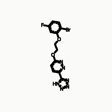 Fc1ccc(Br)c(OCCOc2ccc(-c3nnn[nH]3)nn2)c1